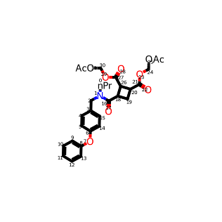 CCCN(Cc1ccc(Oc2ccccc2)cc1)C(=O)C1CC(C(=O)OCOC(C)=O)C1C(=O)OCOC(C)=O